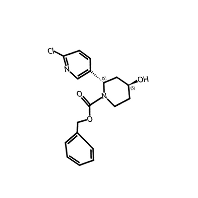 O=C(OCc1ccccc1)N1CC[C@H](O)C[C@H]1c1ccc(Cl)nc1